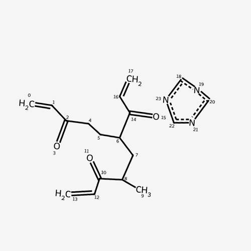 C=CC(=O)CCC(CC(C)C(=O)C=C)C(=O)C=C.c1ncncn1